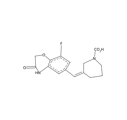 O=C1COc2c(F)cc(/C=C3/CCCN(C(=O)O)C3)cc2N1